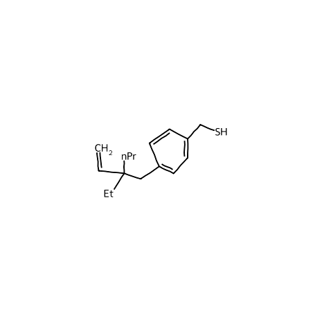 C=CC(CC)(CCC)Cc1ccc(CS)cc1